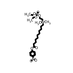 CCOP(=O)(OCC)OCC[N+](C)(C)CCCCCCCCCCC(=O)Oc1ccc([N+](=O)[O-])cc1